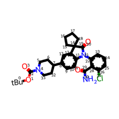 CC(C)(C)OC(=O)N1CCC(c2ccc3c(c2)C2(CCCC2)C(=O)N3c2cccc(Cl)c2C(N)=O)CC1